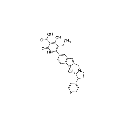 CCc1c(-c2ccc3c(c2)cc(CN2CCC(c4ccncc4)C2)n3C)[nH]c(=O)c(C(=O)O)c1O